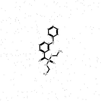 CCOP(=O)(OCC)C(=O)c1cccc(Oc2ccccc2)c1